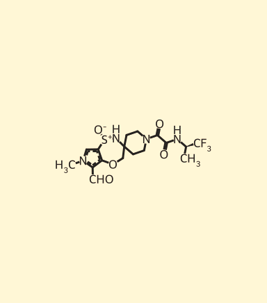 C[C@@H](NC(=O)C(=O)N1CCC2(CC1)COc1c(cn(C)c1C=O)[S+]([O-])N2)C(F)(F)F